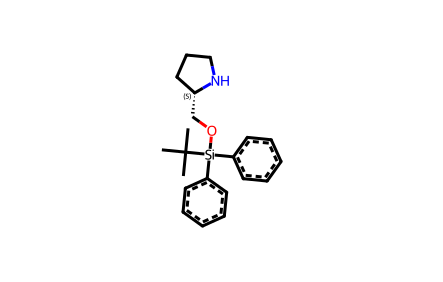 CC(C)(C)[Si](OC[C@@H]1CCCN1)(c1ccccc1)c1ccccc1